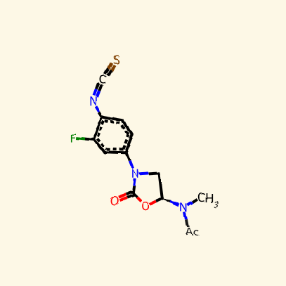 CC(=O)N(C)[C@@H]1CN(c2ccc(N=C=S)c(F)c2)C(=O)O1